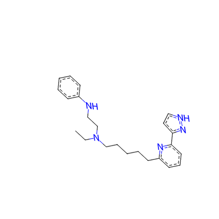 CCN(CCCCCc1cccc(-c2cc[nH]n2)n1)CCNc1ccccc1